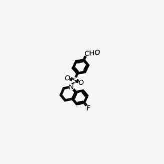 O=Cc1ccc(S(=O)(=O)N2CCCc3cc(F)ccc32)cc1